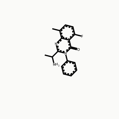 Cc1ccc(F)c2c(=O)n(-c3ccccc3)c(C(C)N)nc12